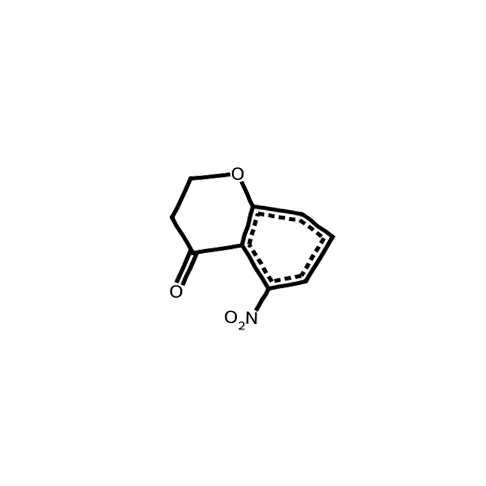 O=C1CCOc2cccc([N+](=O)[O-])c21